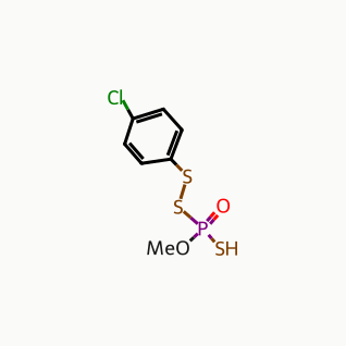 COP(=O)(S)SSc1ccc(Cl)cc1